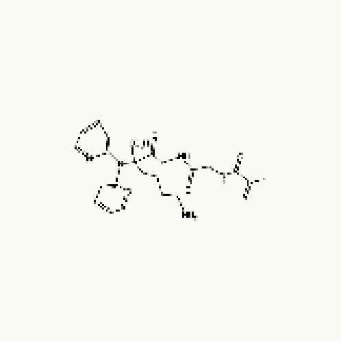 C=C(C)C(=O)NCC(=O)NCC(=O)[C@@](CCCCN)(C(=O)O)N(c1ccccn1)c1ccccn1